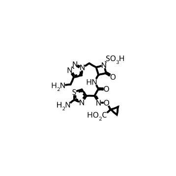 NCc1cn(CC2C(NC(=O)/C(=N\OC3(C(=O)O)CC3)c3csc(N)n3)C(=O)N2S(=O)(=O)O)nn1